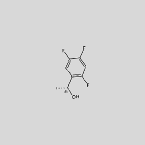 C[C@@H](O)c1cc(F)c(F)cc1F